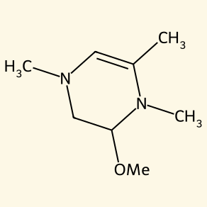 COC1CN(C)C=C(C)N1C